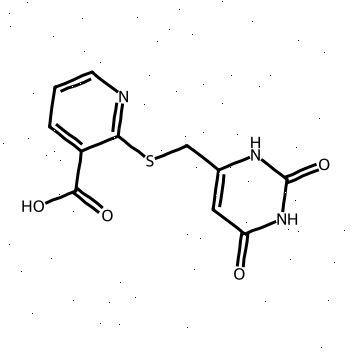 O=C(O)c1cccnc1SCc1cc(=O)[nH]c(=O)[nH]1